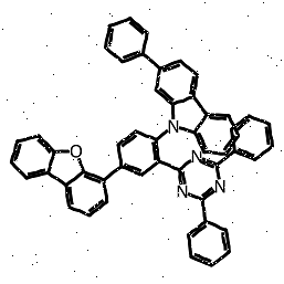 c1ccc(-c2ccc3c4ccccc4n(-c4ccc(-c5cccc6c5oc5ccccc56)cc4-c4nc(-c5ccccc5)nc(-c5ccccc5)n4)c3c2)cc1